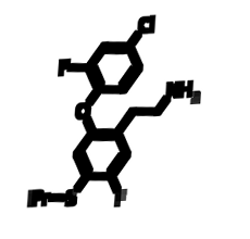 CC(C)Sc1cc(Oc2ccc(Cl)cc2F)c(CCN)cc1F